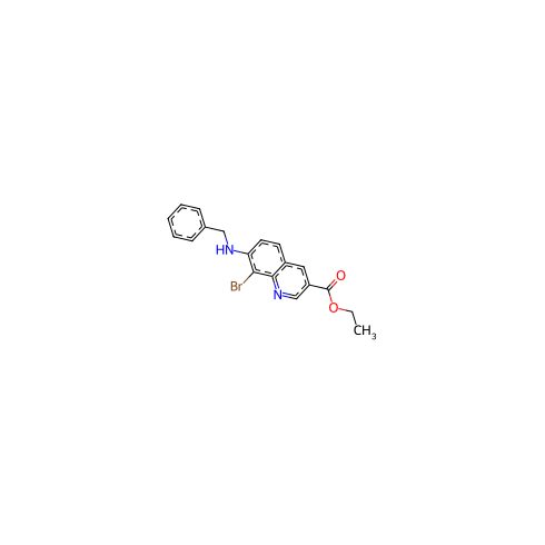 CCOC(=O)c1cnc2c(Br)c(NCc3ccccc3)ccc2c1